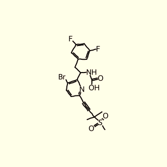 CC(C)(C#Cc1ccc(Br)c(C(Cc2cc(F)cc(F)c2)NC(=O)O)n1)S(C)(=O)=O